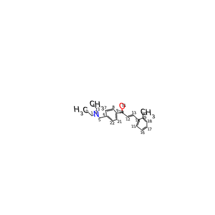 CCN(CC)Cc1ccc(C(=O)C=Cc2ccccc2C)cc1